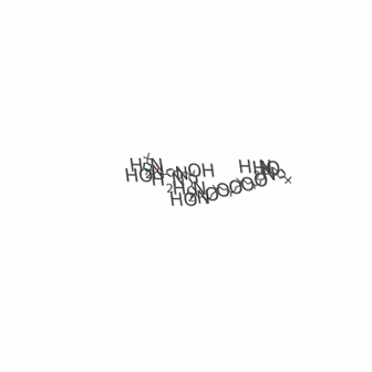 CC(COCC(C)COCC(C)COCC(C)N(CN)Cc1cc(C(C)(C)C)ccc1O)COCC(C)COCC(C)N(CN)Cc1cc(-c2ccc(O)c(CN(CN)Cc3ccc(CN(CN)Cc4cc(C(C)(C)C)ccc4O)cc3)c2)ccc1O